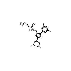 Cc1cc(-c2sc(N3C[C@@H](C)O[C@@H](C)C3)nc2CNC(=O)CCC(F)(F)F)cc(C)n1